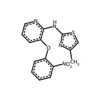 Cc1csc(Nc2ncccc2Oc2ccccc2[N+](=O)[O-])n1